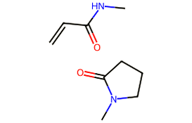 C=CC(=O)NC.CN1CCCC1=O